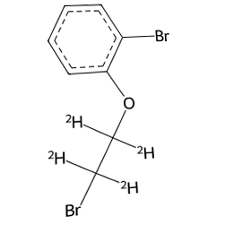 [2H]C([2H])(Br)C([2H])([2H])Oc1ccccc1Br